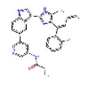 C=C/C=C(/c1ccccc1F)c1nc(-c2n[nH]c3ccc(-c4cncc(NC(=O)CC(C)C)c4)cc23)[nH]c1C